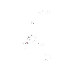 CNC(=O)OCC1CCC2(COc3nc4c(c(N5C[C@H]6CC[C@@H](C5)N6C(=O)OC(C)(C)C)n3)CCN(C(=O)OCc3ccccc3)C4)CCCN12